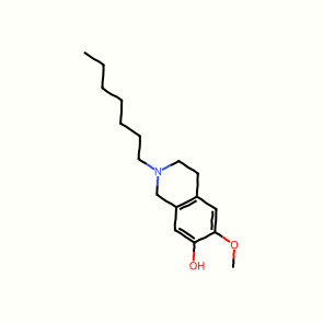 CCCCCCCN1CCc2cc(OC)c(O)cc2C1